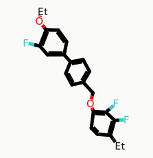 CCOc1ccc(-c2ccc(COc3ccc(CC)c(F)c3F)cc2)cc1F